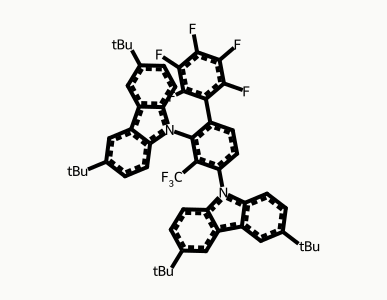 CC(C)(C)c1ccc2c(c1)c1cc(C(C)(C)C)ccc1n2-c1ccc(-c2c(F)c(F)c(F)c(F)c2F)c(-n2c3ccc(C(C)(C)C)cc3c3cc(C(C)(C)C)ccc32)c1C(F)(F)F